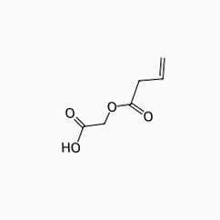 C=CCC(=O)OCC(=O)O